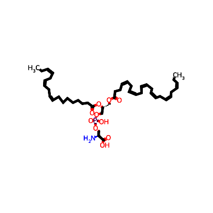 CC/C=C\C/C=C\C/C=C\C/C=C\C/C=C\C/C=C\CCC(=O)OC[C@H](COP(=O)(O)OC[C@H](N)C(=O)O)OC(=O)CCCCCCC/C=C\C/C=C\C/C=C\CC